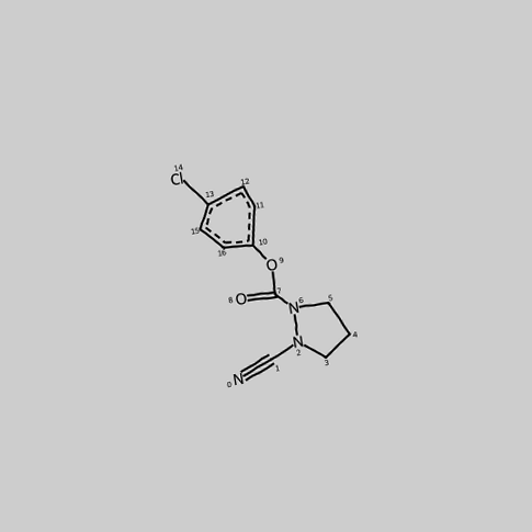 N#CN1CCCN1C(=O)Oc1ccc(Cl)cc1